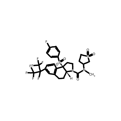 CN(C(=O)N1CC[C@@]2(S(=O)(=O)c3ccc(F)cc3)c3ccc(C(F)(C(F)(F)F)C(F)(F)F)cc3CC[C@@H]12)C1CCS(=O)(=O)C1